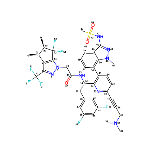 C[C@@H]1c2c(C(F)(F)F)nn(CC(=O)N[C@@H](Cc3cc(F)cc(F)c3)c3nc(C#CCN(C)C)ccc3-c3cccc4c(NS(C)(=O)=O)nn(C)c34)c2C(F)(F)[C@@H]1C